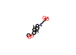 COC(=O)CCC/C=C(\C)C1CCC2[C@@H]3CC=C4C[C@@H](OC5CCCCO5)CC[C@]4(C)[C@H]3CC[C@]12C